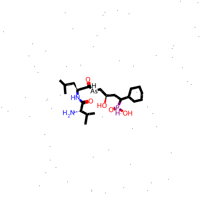 CC(C)C[C@H](NC(=O)[C@@H](N)C(C)C)C(=O)[AsH]C[C@H](O)CC(C1CCCCC1)[PH](=O)O